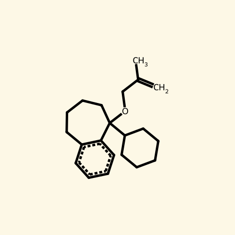 C=C(C)COC1(C2CCCCC2)CCCCc2ccccc21